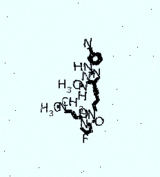 CNc1nc(Nc2cccc(C#N)c2)ncc1C#CCCCNC(=O)[C@@H]1C[C@H](F)CN1C(=O)/C=C/CN(C)C